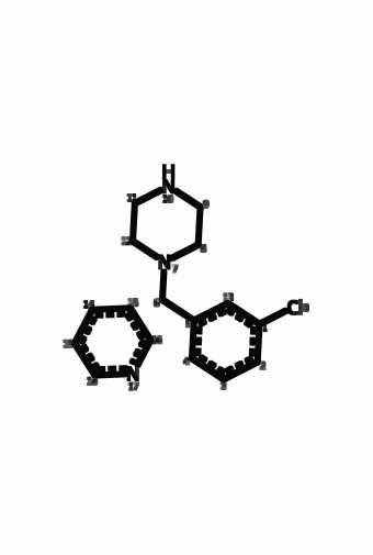 Clc1cccc(CN2CCNCC2)c1.c1ccncc1